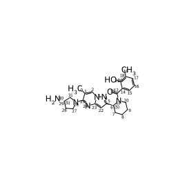 Cc1cn2nc([C@@H]3CCCCN3C(=O)c3cccc(C)c3O)cc2nc1N1CC[C@H](N)C1